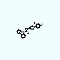 O=C(Nc1ccccc1N1CCCC1)NC1C2CN(c3ccc(F)cc3F)CC21